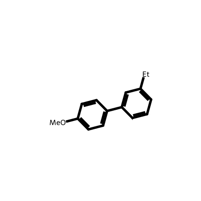 CCc1cc[c]c(-c2ccc(OC)cc2)c1